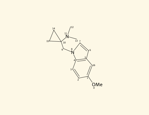 COc1ccc2c(ccn2CC2(N(C)C)CC2)c1